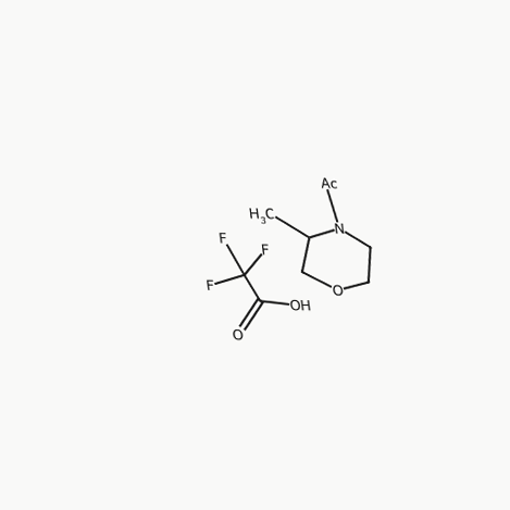 CC(=O)N1CCOCC1C.O=C(O)C(F)(F)F